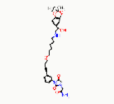 CC1(C)OCc2cc([C@H](O)CNCCCCCCOCCC#Cc3cccc(N4C(=O)CN(CC(N)=O)C4=O)c3)ccc2O1